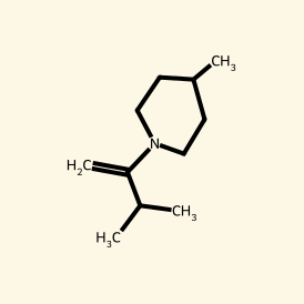 C=C(C(C)C)N1CCC(C)CC1